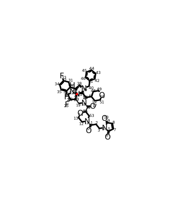 O=C(CCN1C(=O)C=CC1=O)N1CCO[C@@H](C(=O)N(C[C@@H]2CNC[C@@H]2F)[C@@H](c2nc(C3CC(F)=CC=C3F)cn2Cc2ccccc2)C2CCOCC2)C1